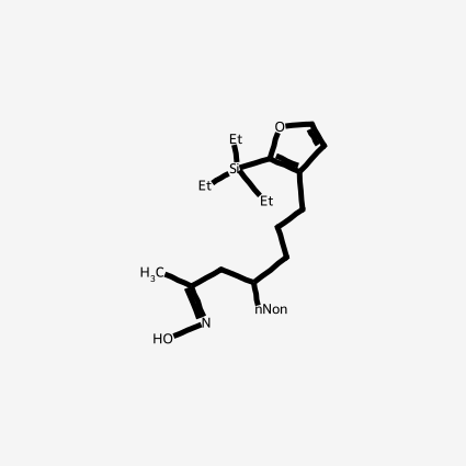 CCCCCCCCCC(CCCc1ccoc1[Si](CC)(CC)CC)CC(C)=NO